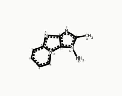 Cc1nc2nc3ccccn3c2n1N